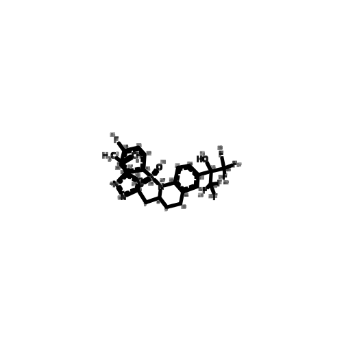 C=C(C)c1nnc(CC2CCc3cc(C(O)(C(F)(F)F)C(F)(F)F)ccc3N2S(=O)(=O)c2ccc(F)cc2)o1